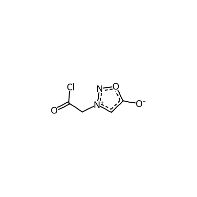 O=C(Cl)C[n+]1cc([O-])on1